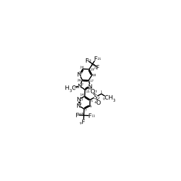 CCS(=O)(=O)c1cc(C(F)(F)F)nnc1-c1nc2cc(C(F)(F)F)cnc2n1C